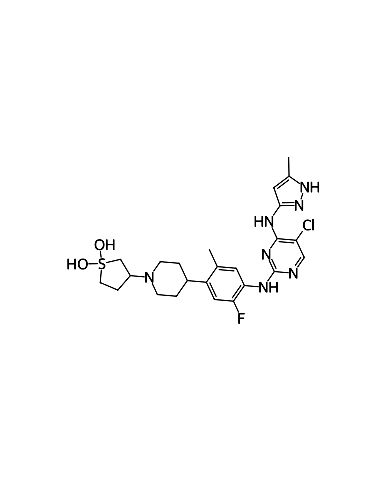 Cc1cc(Nc2nc(Nc3cc(C)c(C4CCN(C5CCS(O)(O)C5)CC4)cc3F)ncc2Cl)n[nH]1